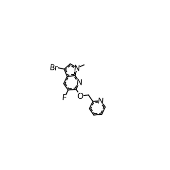 Cn1cc(Br)c2cc(F)c(OCc3ccccn3)nc21